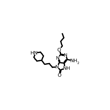 CCCCOc1nc(N)c2[nH]c(=O)n(CCCC3CCNCC3)c2n1